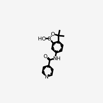 CC1(C)OB(O)c2cc(NC(=O)c3ccncc3)ccc21